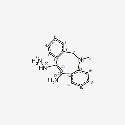 CN1Cc2ccccc2/C(NN)=C(/N)c2ccccc21